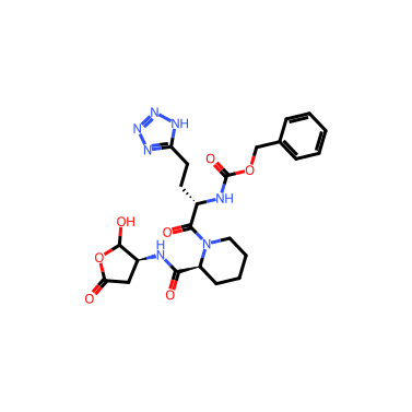 O=C1C[C@H](NC(=O)[C@@H]2CCCCN2C(=O)[C@H](CCc2nnn[nH]2)NC(=O)OCc2ccccc2)C(O)O1